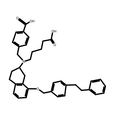 O=C(O)CCCCN(Cc1ccc(C(=O)O)cc1)C1CCc2cccc(OCc3ccc(CCc4ccccc4)cc3)c2C1